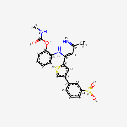 CC(C)NC(=O)Oc1ccccc1N/C(=C\C(=N)C(F)(F)F)c1cc(-c2cccc([SH](=O)=O)c2)cs1